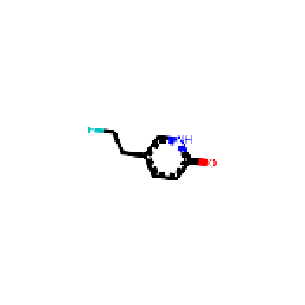 O=c1ccc(CCF)c[nH]1